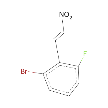 O=[N+]([O-])/C=C/c1c(F)cccc1Br